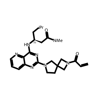 C=CC(=O)N1CC2(CCN(c3nc(N[C@H](CC(=O)NC)CC(C)C)c4ncccc4n3)C2)C1